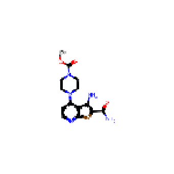 CC(C)(C)OC(=O)N1CCN(c2ccnc3sc(C(N)=O)c(N)c23)CC1